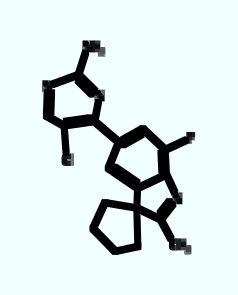 CC1=Nc2c(F)cc(-c3nc(N)ncc3Cl)cc2C12CCCC2